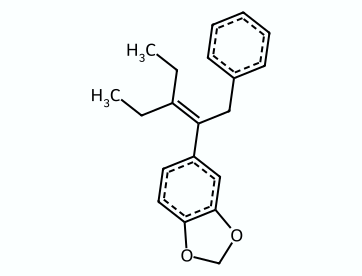 CCC(CC)=C(Cc1ccccc1)c1ccc2c(c1)OCO2